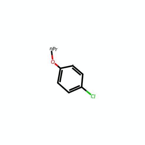 CCCOc1[c]cc(Cl)cc1